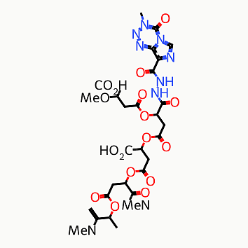 C=C(NC)C(C)OC(=O)CC(OC(=O)CC(OC(=O)CC(OC(=O)CC(OC)C(=O)O)C(=O)NNC(=O)c1ncn2c(=O)n(C)nnc12)C(=O)O)C(=O)NC